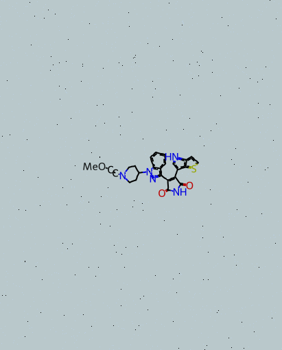 COCCN1CCC(n2nc(C3=C(c4c[nH]c5ccsc45)C(=O)NC3=O)c3ccccc32)CC1